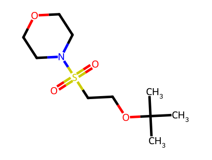 CC(C)(C)OCCS(=O)(=O)N1CCOCC1